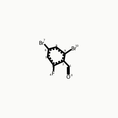 O=Cc1c(F)cc(Br)cc1Br